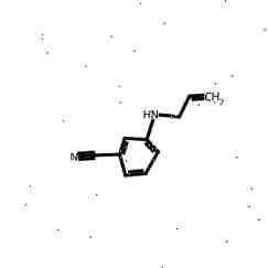 C=CCNc1cccc(C#N)c1